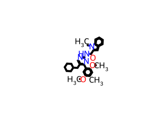 CCn1c(C(=O)Nc2ncc(CC3CCCCC3)c(-c3cc(OC)c(C)cc3OC)n2)cc2ccccc21